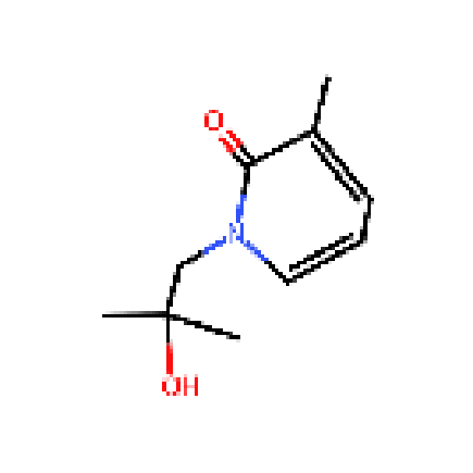 Cc1cccn(CC(C)(C)O)c1=O